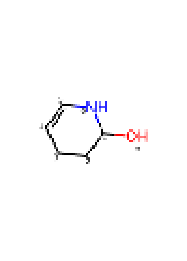 OC1CCC=CN1